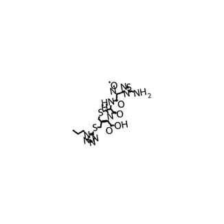 CCCn1nnnc1SCC1=C(C(=O)O)N2C(=O)C(NC(=O)C(=NOC)c3nsc(N)n3)[C@@H]2SC1